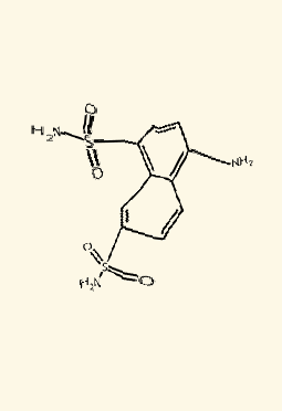 Nc1ccc(S(N)(=O)=O)c2cc(S(N)(=O)=O)ccc12